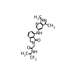 Cc1nn(C)c2ncc(Nc3cccc4c3C(=O)N(CC(=O)N[C@@H](C)C(F)(F)F)C4)cc12